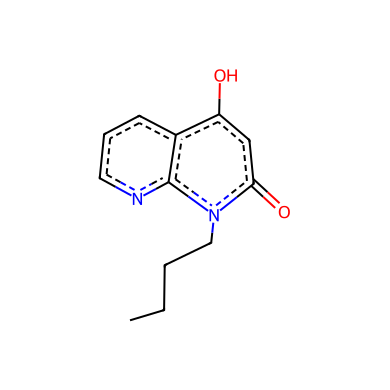 CCCCn1c(=O)cc(O)c2cccnc21